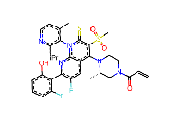 C=CC(=O)N1CCN(c2c(S(C)(=O)=O)c(=S)n(-c3c(C)ccnc3C(C)C)c3nc(-c4c(O)cccc4F)c(F)cc23)[C@@H](C)C1